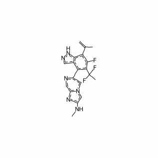 C=C(C)c1c(F)c(C(C)(F)F)c(-c2cn3cc(NC)nc3cn2)c2cn[nH]c12